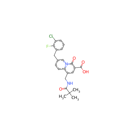 CC(C)(C)C(=O)NCc1cc(C(=O)O)c(=O)n2cc(Cc3cccc(Cl)c3F)ccc12